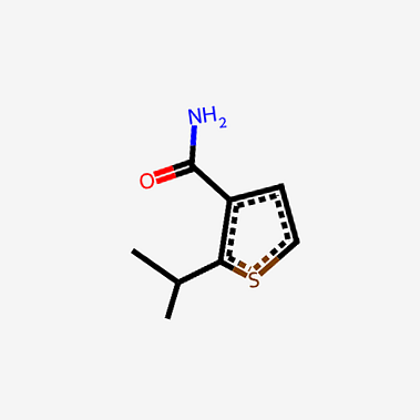 CC(C)c1sccc1C(N)=O